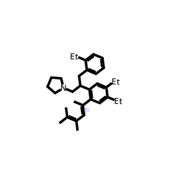 CCc1cc(/C(C)=C/C(C)=C(C)C)c(C(Cc2ccccc2CC)CN2CCCC2)cc1CC